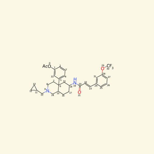 CC(=O)Oc1cccc(C23CCN(CC4CC4)CC2CCC(NC(=O)/C=C/c2cccc(OC(F)(F)F)c2)C3)c1